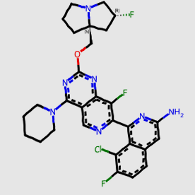 Nc1cc2ccc(F)c(Cl)c2c(-c2ncc3c(N4CCCCC4)nc(OC[C@@]45CCCN4C[C@H](F)C5)nc3c2F)n1